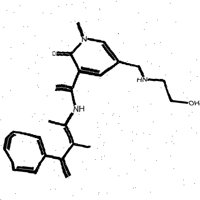 C=C(/C(C)=C(\C)NC(=C)c1cc(CNCCO)cn(C)c1=O)c1ccccc1